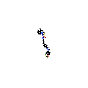 Cc1cccc(N2CCS/C2=N\C(=O)NCCCCc2ccc(-c3ncn(-c4ccc(OC(F)(F)F)cc4)n3)cc2)c1C(C)C